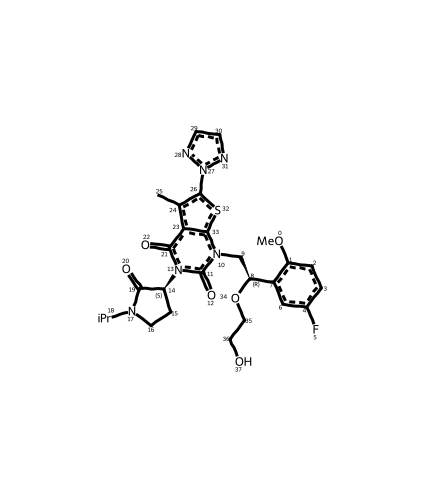 COc1ccc(F)cc1[C@H](Cn1c(=O)n([C@H]2CCN(C(C)C)C2=O)c(=O)c2c(C)c(-n3nccn3)sc21)OCCO